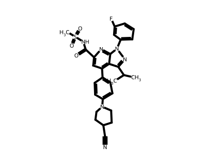 CC(C)c1nn(-c2cccc(F)c2)c2nc(C(=O)NS(C)(=O)=O)cc(-c3ccc(N4CCC(C#N)CC4)cc3)c12